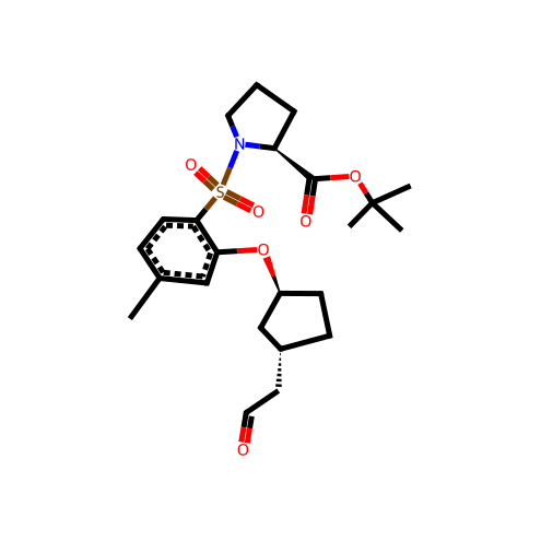 Cc1ccc(S(=O)(=O)N2CCC[C@H]2C(=O)OC(C)(C)C)c(O[C@H]2CC[C@H](CC=O)C2)c1